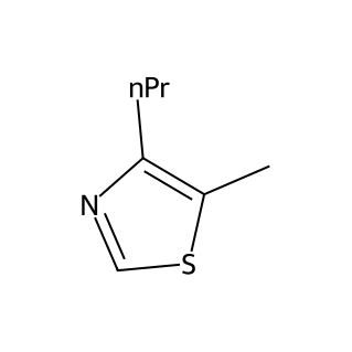 CCCc1ncsc1C